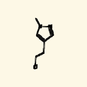 Cn1cc(CCCl)cn1